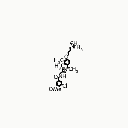 COc1ccc(C(=O)NCC2CN(C(C)c3ccc(OCCCCN(C)C)c(C)c3C)C2)cc1Cl